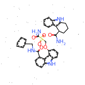 NC(=O)C1CCCc2[nH]c3ccccc3c21.NC(=O)S(=O)(=O)COc1cccc2[nH]c3cccc(C(=O)NCc4ccccc4)c3c12